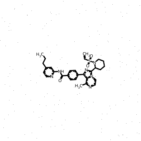 C=CS(=O)(=O)N1CCCCC1c1nc(-c2ccc(C(=O)Nc3cc(CCC)ccn3)cc2)c2c(C)nccn12